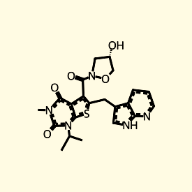 CC(C)n1c(=O)n(C)c(=O)c2c(C(=O)N3C[C@H](O)CO3)c(Cc3c[nH]c4ncccc34)sc21